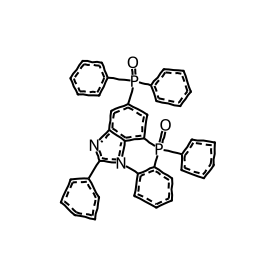 O=P(c1ccccc1)(c1ccccc1)c1cc2c3c(c1)nc(-c1ccccc1)n3-c1ccccc1P2(=O)c1ccccc1